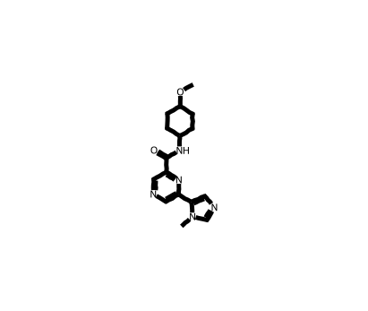 COC1CCC(NC(=O)c2cncc(-c3cncn3C)n2)CC1